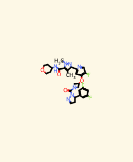 Cc1c(-c2cc(OC3CN(C(=O)N4N=CCC4c4cc(F)cc(F)c4)C3)c(F)cn2)nn(C)c1C(=O)NC1CCOCC1